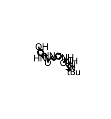 CC(C)(C)c1nnc(NC(=O)Nc2ccc3[nH]c(C(=O)c4cc5cc(O)ccc5[nH]4)cc3c2)s1